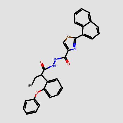 CC(C)CC(C(=O)NNC(=O)c1csc(-c2cccc3ccccc23)n1)c1ccccc1Oc1ccccc1